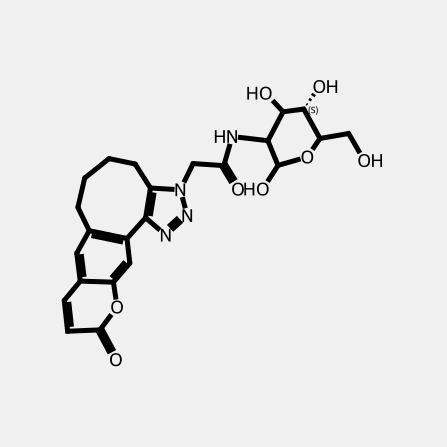 O=C(Cn1nnc2c1CCCCc1cc3ccc(=O)oc3cc1-2)NC1C(O)OC(CO)[C@@H](O)C1O